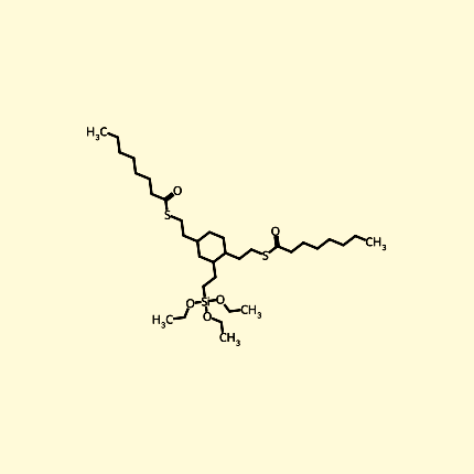 CCCCCCCC(=O)SCCC1CCC(CCSC(=O)CCCCCCC)C(CC[Si](OCC)(OCC)OCC)C1